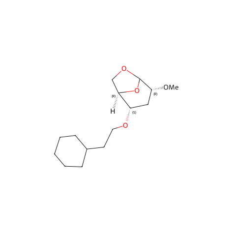 CO[C@@H]1C[C@H](OCCC2CCCCC2)[C@H]2COC1O2